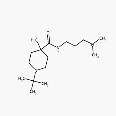 CN(C)CCCNC(=O)C1(C)CCN(C(C)(C)C)CC1